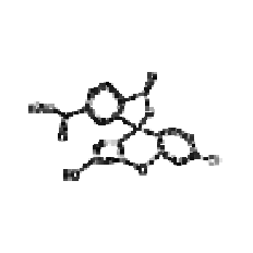 CCCCCCCCCCC(=O)c1ccc2c(c1)C1(OC2=O)c2ccc(O)cc2Oc2cc(O)ccc21